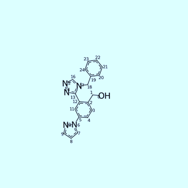 OCc1ccc(-n2cccn2)cc1-c1nncn1Cc1ccccc1